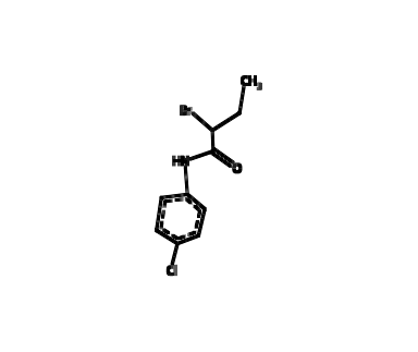 CCC(Br)C(=O)Nc1ccc(Cl)cc1